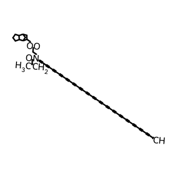 C#CC#CC#CC#CC#CC#CC#CC#CC#CC#CC#CC#CC#CC#CC#CC#CC#CC#CN(CCC(=O)OCC1CC2CC1C1CCCC21)C(=O)C(=C)C